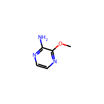 COc1nccnc1N